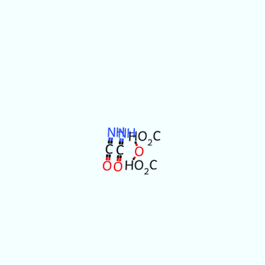 N=C=O.N=C=O.O=C(O)OC(=O)O